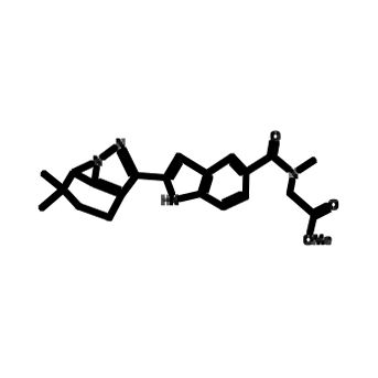 COC(=O)CN(C)C(=O)c1ccc2[nH]c(-c3nn4c5c3CCC(C)(C)C54)cc2c1